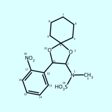 CN(C1OC2(CCCCC2)OC1c1ccccc1[N+](=O)[O-])S(=O)(=O)O